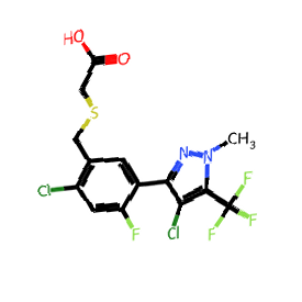 Cn1nc(-c2cc(CSCC(=O)O)c(Cl)cc2F)c(Cl)c1C(F)(F)F